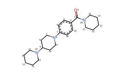 O=C(c1ccc(N2CCC(N3CCCCC3)CC2)cc1)N1CCCCC1